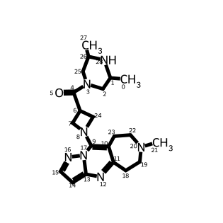 CC1CN(C(=O)C2CN(c3c4c(nc5ccnn35)CCN(C)CC4)C2)CC(C)N1